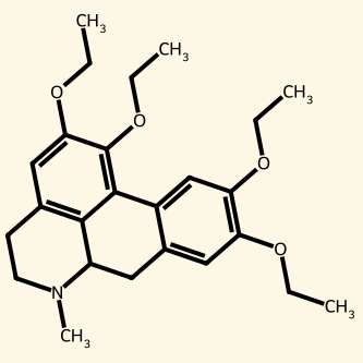 CCOc1cc2c(cc1OCC)-c1c(OCC)c(OCC)cc3c1C(C2)N(C)CC3